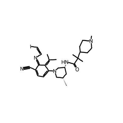 CC(C)=C1C(N2C[C@@H](C)C[C@@H](NC(=O)C(C)(C)C3CCN(C)CC3)C2)=CC=C(C#N)/C1=N/C=C\I